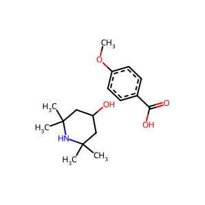 CC1(C)CC(O)CC(C)(C)N1.COc1ccc(C(=O)O)cc1